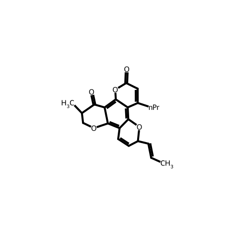 C/C=C/C1C=Cc2c3c(c4oc(=O)cc(CCC)c4c2O1)C(=O)C(C)CO3